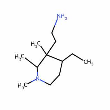 CCC1CCN(C)C(C)C1(C)CCN